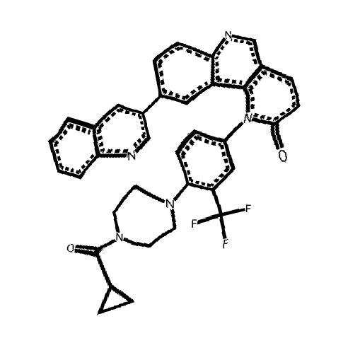 O=C(C1CC1)N1CCN(c2ccc(-n3c(=O)ccc4cnc5ccc(-c6cnc7ccccc7c6)cc5c43)cc2C(F)(F)F)CC1